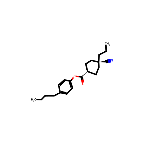 CCCCc1ccc(OC(=O)[C@H]2CC[C@@](C#N)(CCC)CC2)cc1